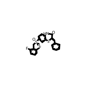 O=C1Nc2ccc(S(=O)(=O)Cc3c(F)cccc3F)cc2SC1=Cc1ccccc1